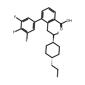 CCC[C@H]1CC[C@H](C(F)Cc2c(C(=O)O)cccc2-c2cc(F)c(F)c(F)c2)CC1